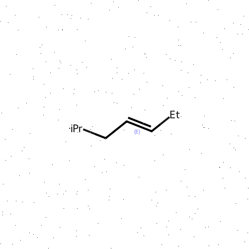 CC/C=C/C[C](C)C